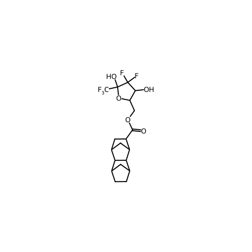 O=C(OCC1OC(O)(C(F)(F)F)C(F)(F)C1O)C1CC2CC1C1C3CCC(C3)C21